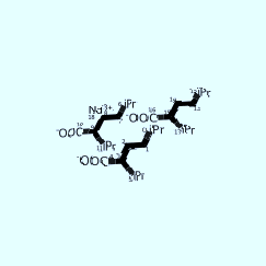 CC(C)CCC(C(=O)[O-])C(C)C.CC(C)CCC(C(=O)[O-])C(C)C.CC(C)CCC(C(=O)[O-])C(C)C.[Nd+3]